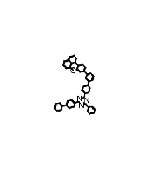 c1ccc(-c2ccc(-c3nc(-c4ccccc4)nc(-c4ccc(-c5cccc(-c6ccc7c(c6)Oc6cccc8cccc-7c68)c5)cc4)n3)cc2)cc1